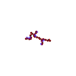 CC1(C)c2ccccc2-c2ccc(-c3ccc(-c4ccc5cc(-c6ccc7cc(-c8ccc(-c9ccc%10ccc%11c(-c%12cc(-c%13cccc(-c%14ccc%15ccc%16ccc(-c%17cnc%18ccccc%18c%17)nc%16c%15n%14)c%13)c%13ccccc%13c%12)cc(-c%12ccc%13ncccc%13c%12)nc%11c%10n9)cc8)ccc7c6)c6ccc(-c7ccc8cccnc8c7)nc6c5n4)cc3)cc21